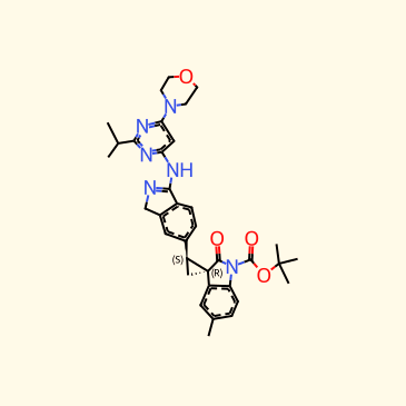 Cc1ccc2c(c1)[C@]1(C[C@H]1c1ccc3c(c1)CN=C3Nc1cc(N3CCOCC3)nc(C(C)C)n1)C(=O)N2C(=O)OC(C)(C)C